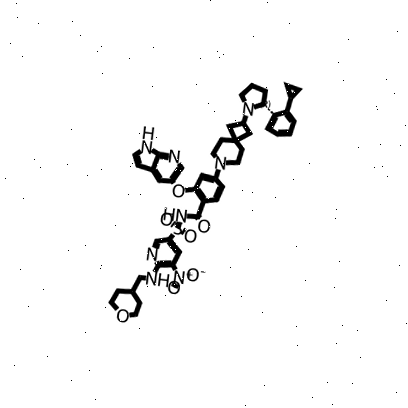 O=C(NS(=O)(=O)c1cnc(NCC2CCOCC2)c([N+](=O)[O-])c1)c1ccc(N2CCC3(CC2)CC(N2CCC[C@@H]2c2ccccc2C2CC2)C3)cc1Oc1cnc2[nH]ccc2c1